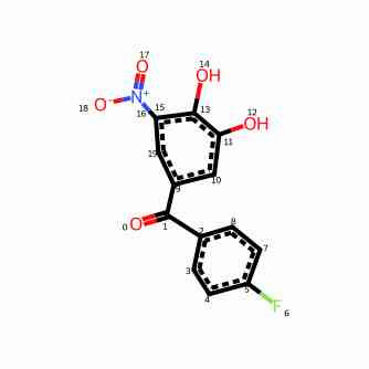 O=C(c1ccc(F)cc1)c1cc(O)c(O)c([N+](=O)[O-])c1